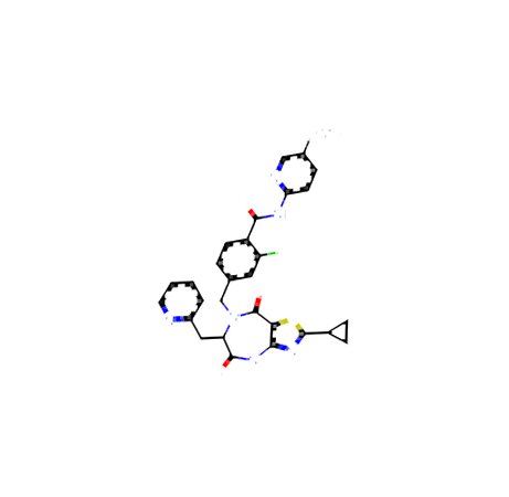 COc1ccc(NC(=O)c2ccc(CN3C(=O)c4sc(C5CC5)nc4NC(=O)C3Cc3ccccn3)cc2Cl)nc1